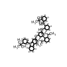 CC(C)c1cccc(C(C)C)c1-c1cc(Nc2ccccc2Nc2ccccc2C(C)(C)C)cc(Oc2ccc3c4ccccc4n(-c4cc(C(C)(C)C)ccn4)c3c2)c1